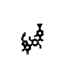 CC[C@H]1CN(C(C)c2ccc(C3CC3)cc2F)[C@H](CC)CN1c1cc(=O)n(C)c2cn(CC#N)nc12